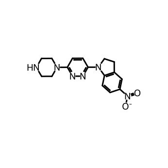 O=[N+]([O-])c1ccc2c(c1)CCN2c1ccc(N2CCNCC2)nn1